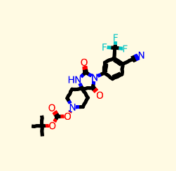 CC(C)(C)OC(=O)ON1CCC2(CC1)NC(=O)N(c1ccc(C#N)c(C(F)(F)F)c1)C2=O